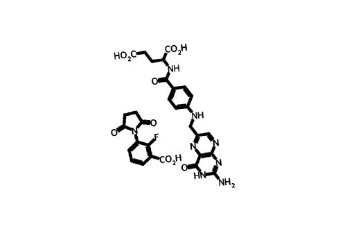 Nc1nc2ncc(CNc3ccc(C(=O)NC(CCC(=O)O)C(=O)O)cc3)nc2c(=O)[nH]1.O=C(O)c1cccc(N2C(=O)CCC2=O)c1F